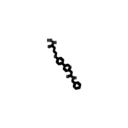 O=C(CCCOc1ccc(-c2ccc(CC(=O)NCc3ccccc3)nc2)cc1)NO